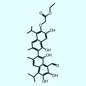 CCOC(=O)COc1c(O)cc2c(O)c(-c3c(C)cc4c(C(C)C)c(O)c(O)c(C=O)c4c3O)c(C)cc2c1C(C)C